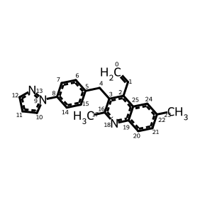 C=Cc1c(Cc2ccc(-n3cccn3)cc2)c(C)nc2ccc(C)cc12